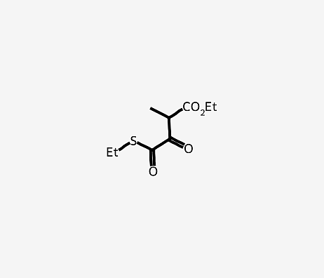 CCOC(=O)C(C)C(=O)C(=O)SCC